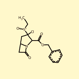 CC[S+]([O-])C1(Cl)CC2CC(=O)N2C1C(=O)OCc1ccccc1